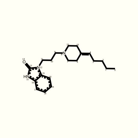 CCCCC=C1CCN(CCCn2c(=O)[nH]c3ccccc32)CC1